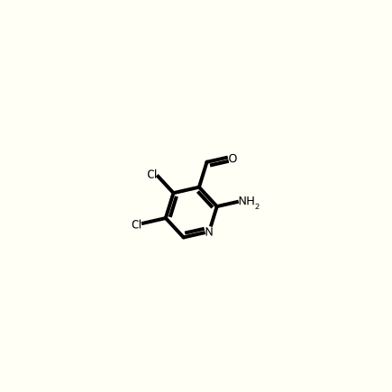 Nc1ncc(Cl)c(Cl)c1C=O